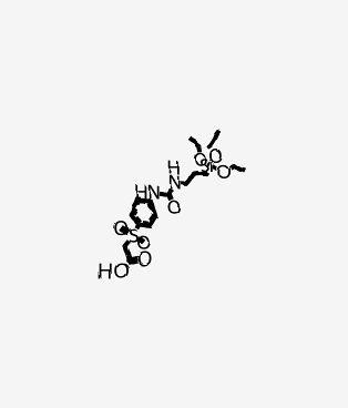 CCO[Si](CCCNC(=O)Nc1ccc(S(=O)(=O)CC(=O)O)cc1)(OCC)OCC